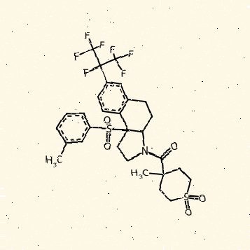 Cc1cccc(S(=O)(=O)C23CCN(C(=O)C4(C)CCS(=O)(=O)CC4)C2CCc2cc(C(F)(C(F)(F)F)C(F)(F)F)ccc23)c1